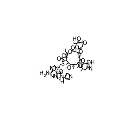 C=C/C(C(=O)Nc1ccncc1)=c1\c(=C(N)N)ncn1CCS[C@@H]1C(=O)O[C@@]2(C)C1C(C)C(=O)[C@H](C)C[C@@](C)(OC)[C@H](O[C@@H]1OC(C)C[C@H](N(C)C)[C@H]1O)[C@@H](C)[C@H](O[C@H]1CC(C)(OC)[C@@H](O)C(C)O1)C(C)C(=O)O[C@@H]2CC